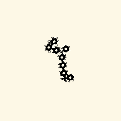 CC1(C)c2ccccc2-c2cc(-c3ccc(-c4ccc(N(c5ccccc5)c5ccc(-c6cccc7sc8ccccc8c67)cc5)cc4)cc3)ccc21